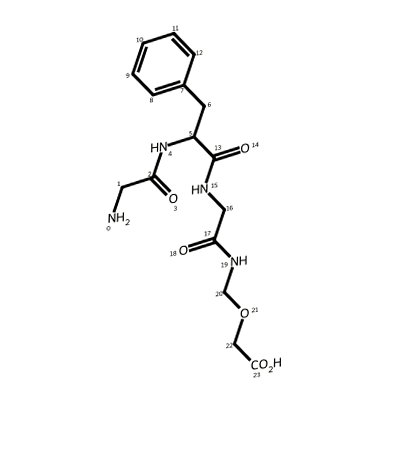 NCC(=O)NC(Cc1ccccc1)C(=O)NCC(=O)NCOCC(=O)O